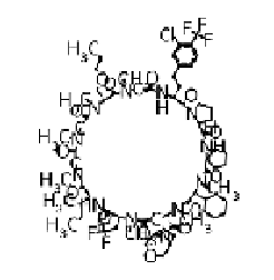 CCCOC[C@H]1C(=O)N(C)CC(=O)N[C@@H](CCc2ccc(C(F)(F)F)c(Cl)c2)C(=O)N2CCC[C@H]2C(=O)NC2(CCCC2)C(=O)N(C)[C@@H](C2CCCCC2)C(=O)N(C)[C@H](C(=O)N2C3CCC2COC3)CC(=O)N(C)[C@@H](CC(F)(F)F)C(=O)N[C@@H]([C@@H](C)CC)C(=O)N(C)CC(=O)N(C)CC(=O)N1C